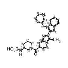 Cc1c(-c2cc3ccccc3n2Cc2cnccn2)nc2cc(C(=O)N3CCCC(NC(=O)O)C3)ccn12